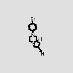 N#CC1C[C@H]2CN(c3ccc(Br)cc3)CCN2C1